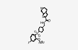 CCCCOc1cc(F)ccc1S(=O)(=O)c1ccc(CNC(=O)c2cc3ccncc3s2)cc1